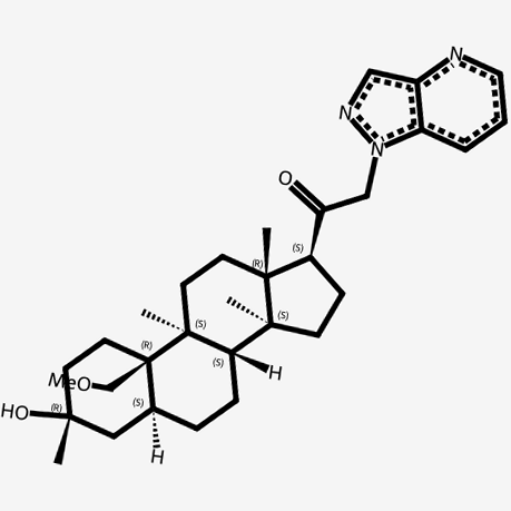 COC[C@]12CC[C@@](C)(O)C[C@@H]1CC[C@@H]1[C@]2(C)CC[C@]2(C)[C@@H](C(=O)Cn3ncc4ncccc43)CC[C@@]12C